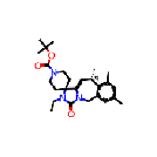 CCN1C(=O)N2Cc3cc(C)cc(C)c3[C@@H](C)C=C2C12CCN(C(=O)OC(C)(C)C)CC2